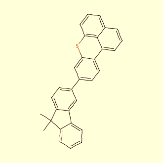 CC1(C)c2ccccc2-c2cc(-c3ccc4c(c3)Sc3cccc5cccc-4c35)ccc21